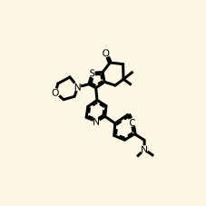 CN(C)Cc1ccc(-c2cc(-c3c(N4CCOCC4)sc4c3CC(C)(C)CC4=O)ccn2)cc1